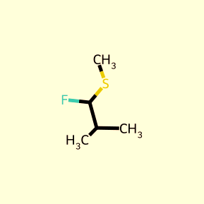 CSC(F)C(C)C